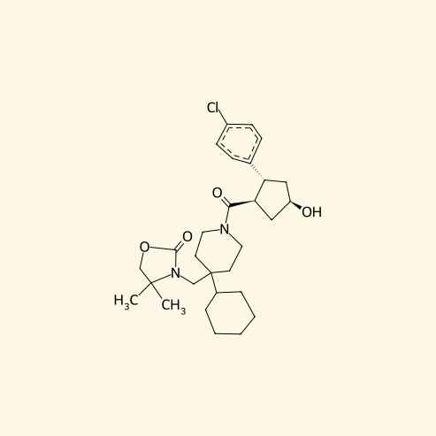 CC1(C)COC(=O)N1CC1(C2CCCCC2)CCN(C(=O)[C@@H]2C[C@H](O)C[C@H]2c2ccc(Cl)cc2)CC1